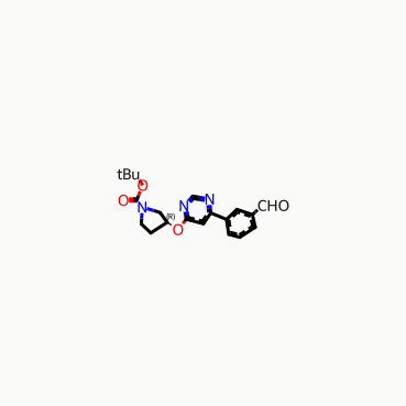 CC(C)(C)OC(=O)N1CC[C@@H](Oc2cc(-c3cccc(C=O)c3)ncn2)C1